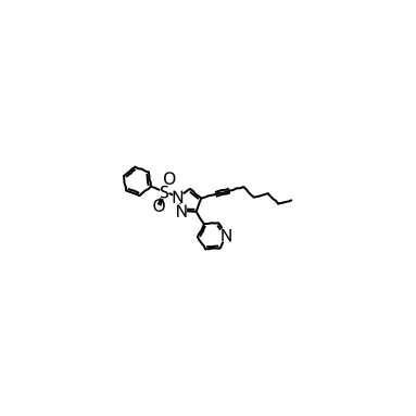 CCCCCC#Cc1cn(S(=O)(=O)c2ccccc2)nc1-c1cccnc1